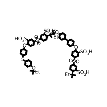 CCC(C)(C)Oc1ccc(Sc2ccc(Oc3ccc(S(=O)(=O)c4ccc(C(C)(CC)C(C)(CC)Oc5ccc(-c6ccc(Oc7ccc(S(=O)(=O)c8ccc(C(C)(C)CC)c(S(=O)(=O)O)c8)cc7S(=O)(=O)O)cc6)cc5)c(S(=O)(=O)O)c4)cc3S(=O)(=O)O)cc2)cc1